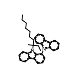 CCCCCCCC(C)(CC)n1c2ccccc2c2cccc(-n3c4ccccc4c4ccccc43)c21